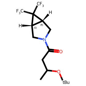 CC(CC(=O)N1C[C@@H]2[C@H](C1)C2(C(F)(F)F)C(F)(F)F)OC(C)(C)C